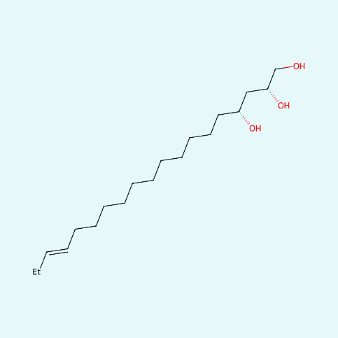 CCC=CCCCCCCCCCCC[C@@H](O)C[C@@H](O)CO